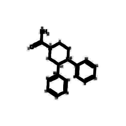 NC(=O)N1CCN(c2ccccc2)C(c2ccccc2)C1